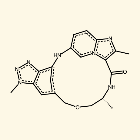 Cc1nc2ccc3cn2c1C(=O)N[C@H](C)COCc1cc(c2nnn(C)c2c1)N3